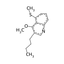 [CH2]Oc1c(CCCC)cnc2cccc(SC)c12